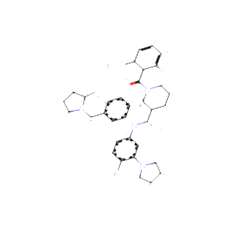 CCc1ccc(N[C@H](O)C2CCCN(C(=O)C3C(F)=CC=CC3C)[C@H]2c2ccc(CN3CCCC3C(F)(F)F)cc2)cc1N1CCCC1